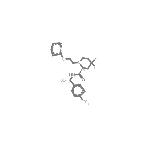 C[C@H](NC(=O)[C@@H]1CC(F)(F)CCN1CCOc1ccccc1)c1ccc(C(F)(F)F)cc1